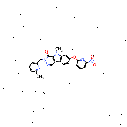 Cc1cccc(Cn2ncc3c4ccc(Oc5cccc([N+](=O)[O-])n5)cc4n(C)c3c2=O)n1